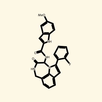 COc1ccc2[nH]c(C(=O)NC3C(=O)NCc4cccc5cc(-c6ccccc6F)n3c45)cc2c1